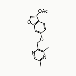 CC(=O)Oc1coc2cc(OCc3ncc(C)nc3C)ccc12